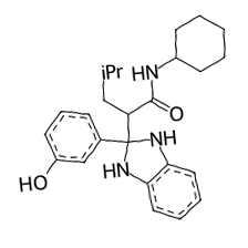 CC(C)CC(C(=O)NC1CCCCC1)C1(c2cccc(O)c2)Nc2ccccc2N1